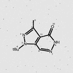 Cc1nn(C(C)(C)C)c2cn[nH]c(=O)c12